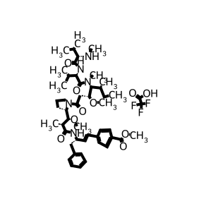 CC[C@H](C)[C@@H]([C@@H](CC(=O)N1CCC[C@H]1[C@H](OC)[C@@H](C)C(=O)N[C@H](/C=C/c1ccc(C(=O)OC)cc1)Cc1ccccc1)OC)N(C)C(=O)[C@@H](NC(=O)[C@@H](NC)C(C)C)C(C)C.O=C(O)C(F)(F)F